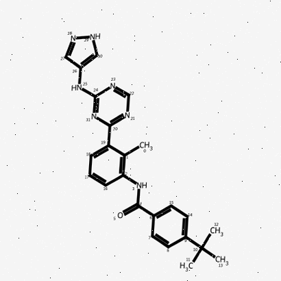 Cc1c(NC(=O)c2ccc(C(C)(C)C)cc2)cccc1-c1ncnc(Nc2cn[nH]c2)n1